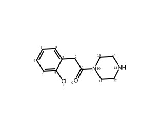 O=C(Cc1ccccc1Cl)N1CCNCC1